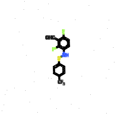 O=Cc1c(F)ccc(NSC2=CCC(C(F)(F)F)C=C2)c1F